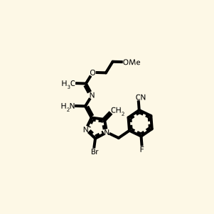 C=c1/c(=C(N)\N=C(/C)OCCOC)nc(Br)n1Cc1cc(C#N)ccc1F